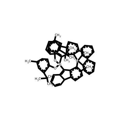 Cc1ccc([O][Zr]2([O]c3ccc(C)cc3C(C)(C)C)[C]3=C4C=CC=CC4c4ccc(C)c(c43)[Si](c3ccccc3)(c3ccccc3)c3c(C)ccc4c3[C]2=C2C=CC=CC24)c(C(C)(C)C)c1